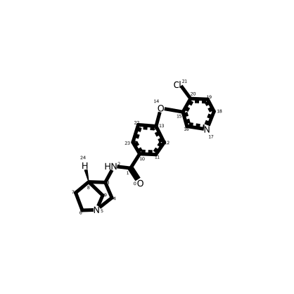 O=C(NC1CN2CC[C@H]1C2)c1ccc(Oc2cnccc2Cl)cc1